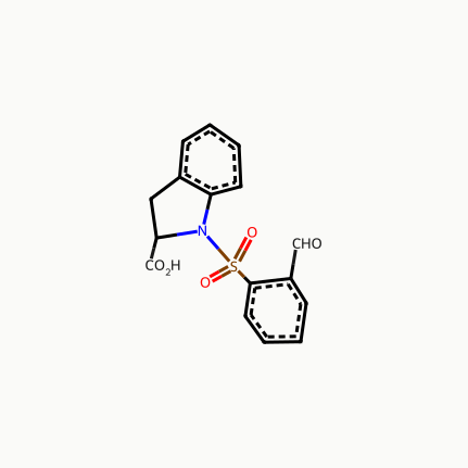 O=Cc1ccccc1S(=O)(=O)N1c2ccccc2CC1C(=O)O